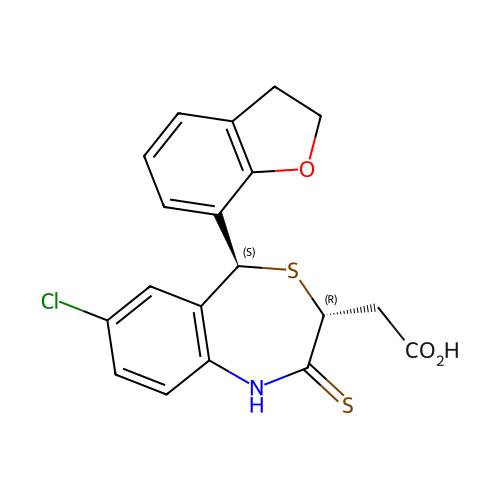 O=C(O)C[C@H]1S[C@H](c2cccc3c2OCC3)c2cc(Cl)ccc2NC1=S